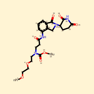 CCCOCCOCCN(CCC(=O)Nc1cccc2c1CN(C1CCC(=O)NC1=O)C2=O)C(=O)OC(C)(C)C